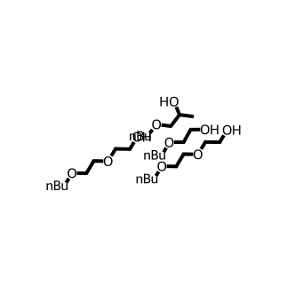 CCCCOCC(C)O.CCCCOCCO.CCCCOCCOCCO.CCCCOCCOCCO